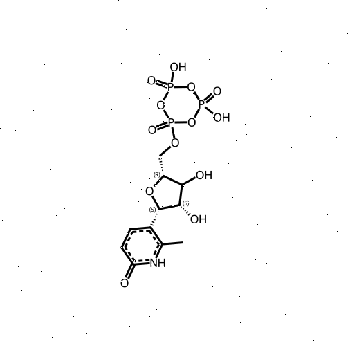 Cc1[nH]c(=O)ccc1[C@@H]1O[C@H](COP2(=O)OP(=O)(O)OP(=O)(O)O2)C(O)[C@@H]1O